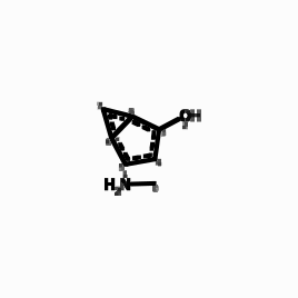 CN.Oc1ccc2cc1-2